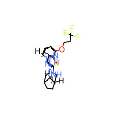 Cc1cc(N2CC3CC[C@@H](C2)[C@@H]3Nc2nc3c(OCCC(F)(F)F)cccn3n2)sn1